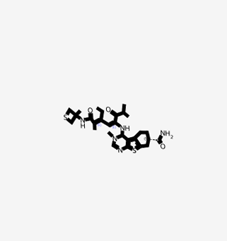 CCC(/C=C(/NC1c2c(sc3c2CC[C@H](C(N)=O)C3)N=CN1C)C(=O)C(C)C)=C(/C)C(=O)NC1(C)CSC1